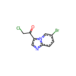 O=C(CCl)c1cnc2ccc(Br)cn12